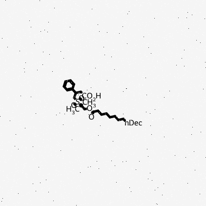 CCCCCCCCCCCCCCCCCC(=O)OCC(C)(C)S(=O)(=O)CC(CC(=O)O)c1ccccc1